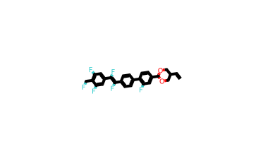 C=CC1COC(c2ccc(-c3ccc(/C(F)=C(\F)c4cc(F)c(CF)c(F)c4)cc3)c(F)c2)OC1